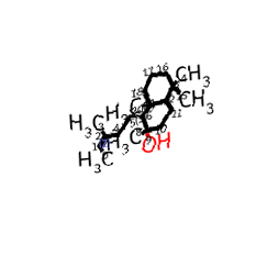 C/C=C(/C)CC[C@@H]1C(C)(O)CCC2C(C)(C)CCC[C@]21C